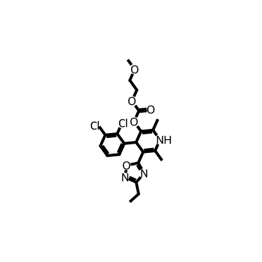 CCc1noc(C2=C(C)NC(C)=C(OC(=O)OCCOC)C2c2cccc(Cl)c2Cl)n1